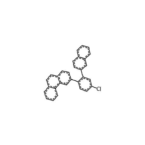 Clc1ccc(-c2ccc3ccc4ccccc4c3c2)c(-c2ccc3ccccc3c2)c1